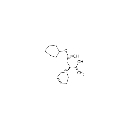 C=C(O)C(C[C@H](C)OC1CCCCC1)[C@@H]1CC=CCC1